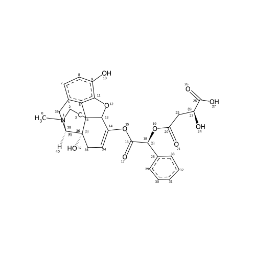 CN1CCC23c4c5ccc(O)c4OC2C(OC(=O)[C@@H](OC(=O)C[C@H](O)C(=O)O)c2ccccc2)=CC[C@@]3(O)[C@H]1C5